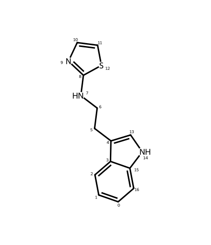 c1ccc2c(CCNc3nccs3)c[nH]c2c1